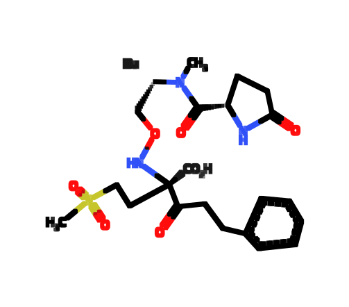 CC[C@H](C)[C@@H](CON[C@](CCS(C)(=O)=O)(C(=O)O)C(=O)CCc1ccccc1)N(C)C(=O)[C@@H]1CCC(=O)N1